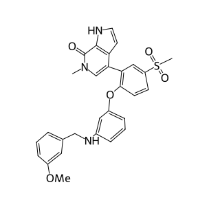 COc1cccc(CNc2cccc(Oc3ccc(S(C)(=O)=O)cc3-c3cn(C)c(=O)c4[nH]ccc34)c2)c1